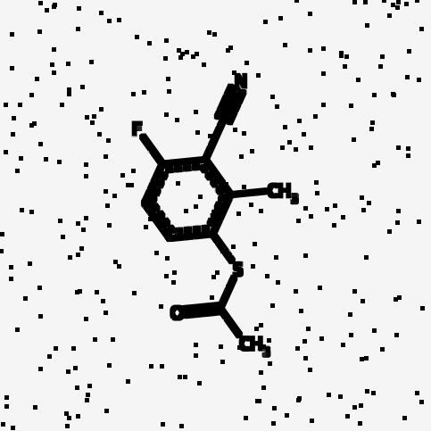 CC(=O)Sc1ccc(F)c(C#N)c1C